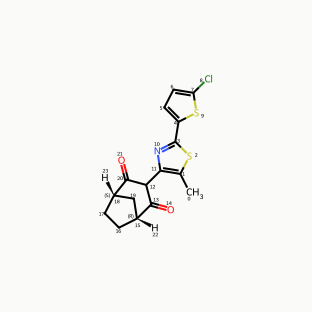 Cc1sc(-c2ccc(Cl)s2)nc1C1C(=O)[C@@H]2CC[C@@H](C2)C1=O